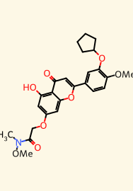 COc1ccc(-c2cc(=O)c3c(O)cc(OCC(=O)N(C)OC)cc3o2)cc1OC1CCCC1